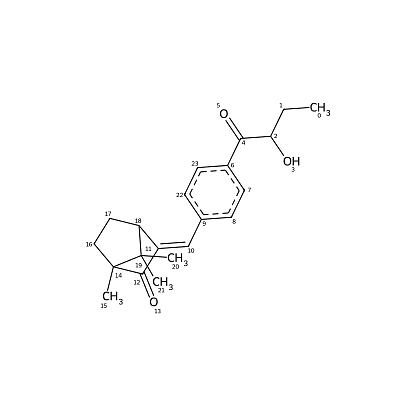 CCC(O)C(=O)c1ccc(C=C2C(=O)C3(C)CCC2C3(C)C)cc1